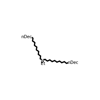 CCCCCCCCCCCCCCCCCCCCN(CC)CCCCCCCCCCCCCCCCCCCC